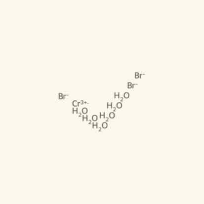 O.O.O.O.O.O.[Br-].[Br-].[Br-].[Cr+3]